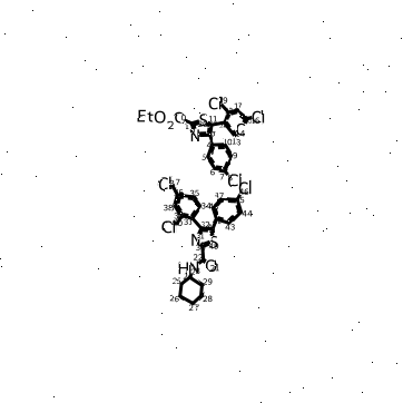 CCOC(=O)c1nc(-c2ccc(Cl)cc2)c(-c2ccc(Cl)cc2Cl)s1.O=C(NC1CCCCC1)c1nc(-c2ccc(Cl)cc2Cl)c(-c2ccc(Cl)cc2)s1